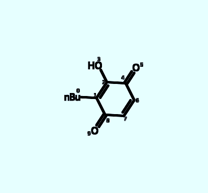 CCCCC1=C(O)C(=O)C=CC1=O